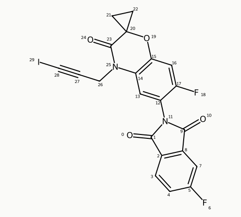 O=C1c2ccc(F)cc2C(=O)N1c1cc2c(cc1F)OC1(CC1)C(=O)N2CC#CI